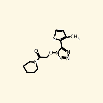 Cc1ccsc1-c1nnnn1OCC(=O)N1CCCCC1